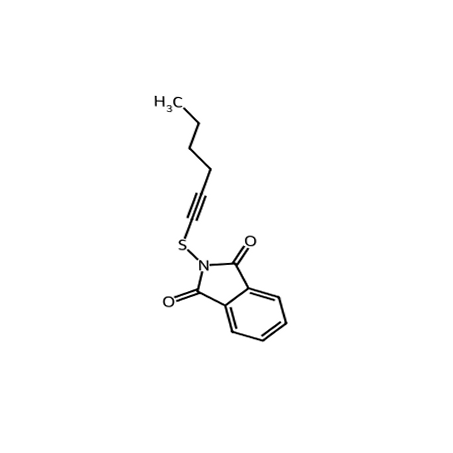 CCCCC#CSN1C(=O)c2ccccc2C1=O